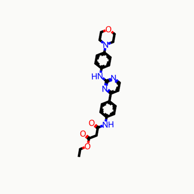 CCOC(=O)CC(=O)Nc1ccc(-c2ccnc(Nc3ccc(N4CCOCC4)cc3)n2)cc1